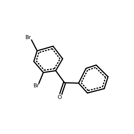 O=C(c1ccccc1)c1ccc(Br)cc1Br